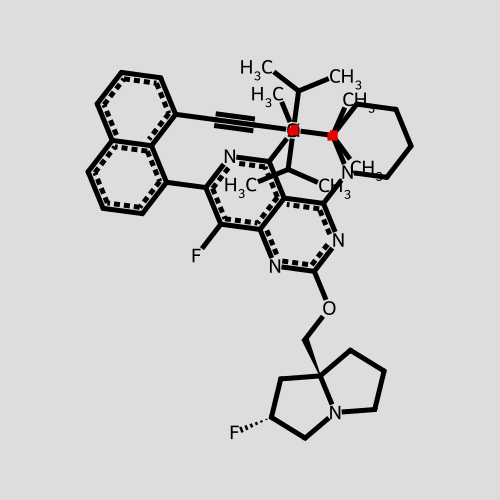 COc1nc(-c2cccc3cccc(C#C[Si](C(C)C)(C(C)C)C(C)C)c23)c(F)c2nc(OC[C@@]34CCCN3C[C@H](F)C4)nc(N3CCCCC3)c12